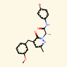 COc1cccc(Cc2cc(C)nn([C@@H](C)C(=O)Nc3ccc(Br)cc3)c2=O)c1